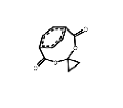 O=C1OC2(CC2)OC(=O)c2ccc1cc2